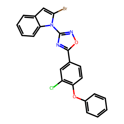 Clc1cc(-c2nc(-n3c(Br)cc4ccccc43)no2)ccc1Oc1ccccc1